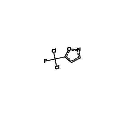 FC(Cl)(Cl)c1ccno1